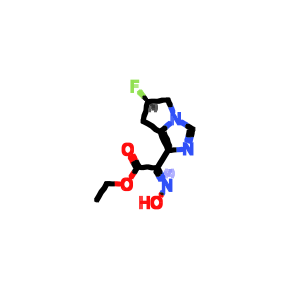 CCOC(=O)/C(=N\O)c1ncn2c1C[C@@H](F)C2